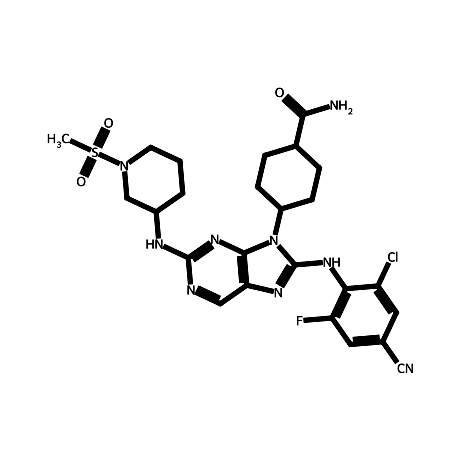 CS(=O)(=O)N1CCCC(Nc2ncc3nc(Nc4c(F)cc(C#N)cc4Cl)n(C4CCC(C(N)=O)CC4)c3n2)C1